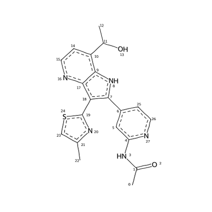 CC(=O)Nc1cc(-c2[nH]c3c(C(C)O)ccnc3c2-c2nc(C)cs2)ccn1